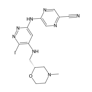 CN1CCO[C@H](CNc2cc(Nc3cnc(C#N)cn3)nnc2I)C1